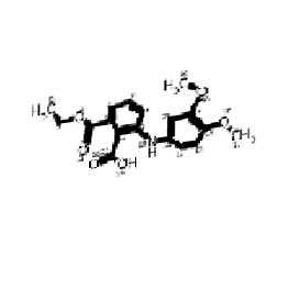 CCOC(=O)c1cccc(Nc2ccc(OC)c(OC)c2)c1C(=O)O